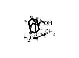 C=COC=C.OCC12CC3CC(CC(C3)C1)C2